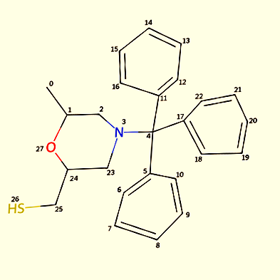 CC1CN(C(c2ccccc2)(c2ccccc2)c2ccccc2)CC(CS)O1